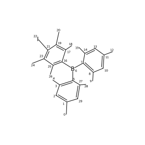 Cc1cc(C)c(B(c2c(C)cc(C)cc2C)c2c(C)c(C)c(I)c(C)c2C)c(C)c1